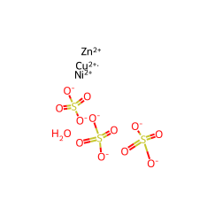 O.O=S(=O)([O-])[O-].O=S(=O)([O-])[O-].O=S(=O)([O-])[O-].[Cu+2].[Ni+2].[Zn+2]